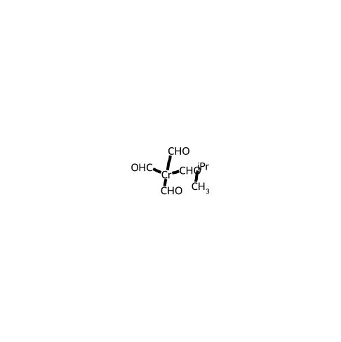 CC(C)C.O=[CH][Cr]([CH]=O)([CH]=O)[CH]=O